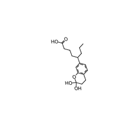 CCCC(CCCC(=O)O)c1ccc2c(c1)OC(O)(O)CC2